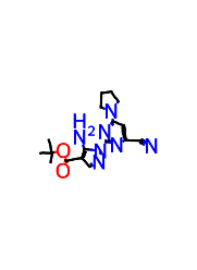 CC(C)(C)OC(=O)c1cnn(-c2nc(C#N)cc(N3CCCC3)n2)c1N